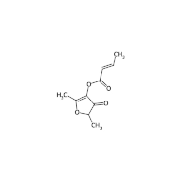 C/C=C/C(=O)OC1=C(C)OC(C)C1=O